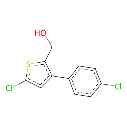 OCc1sc(Cl)cc1-c1ccc(Cl)cc1